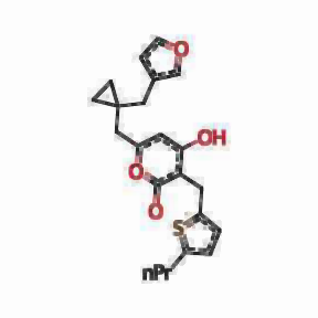 CCCc1ccc(Cc2c(O)cc(CC3(Cc4ccoc4)CC3)oc2=O)s1